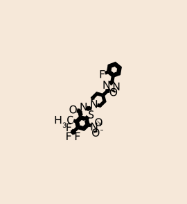 Cc1c(C(F)(F)F)cc([N+](=O)[O-])c2sc(N3CCC(c4nc(-c5ccccc5F)no4)CC3)nc(=O)c12